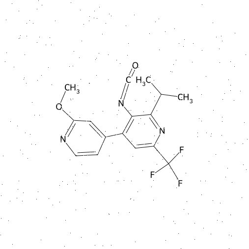 COc1cc(-c2cc(C(F)(F)F)nc(C(C)C)c2N=C=O)ccn1